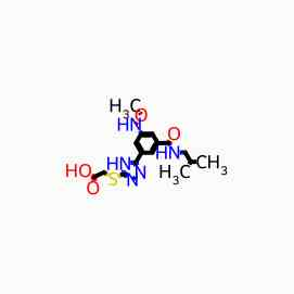 CONc1cc(C(=O)NCC(C)C)cc(-c2nnc(SCC(=O)O)[nH]2)c1